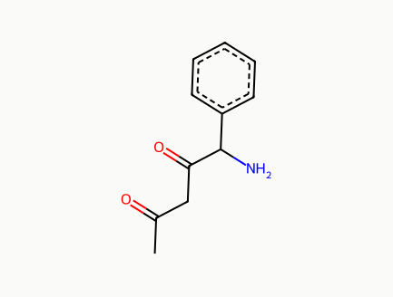 CC(=O)CC(=O)C(N)c1ccccc1